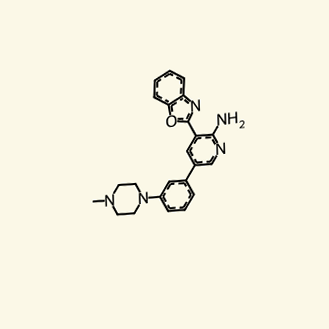 CN1CCN(c2cccc(-c3cnc(N)c(-c4nc5ccccc5o4)c3)c2)CC1